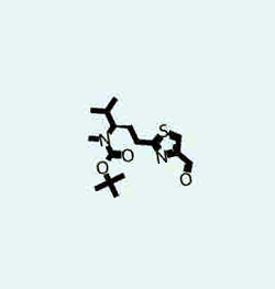 CC(C)[C@@H](CCc1nc(C=O)cs1)N(C)C(=O)OC(C)(C)C